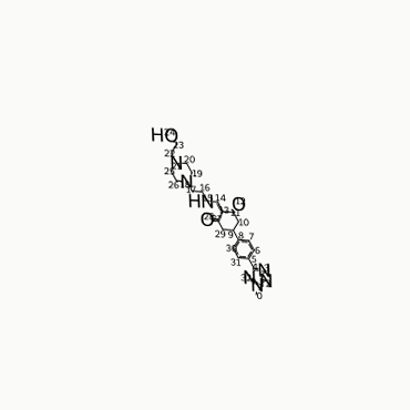 Cn1nnc(-c2ccc(C3CC(=O)C(=CNCCN4CCN(CCO)CC4)C(=O)C3)cc2)n1